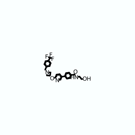 O=C(NCCO)c1ccc(-c2ccc(OC3CN(Cc4ccc(C(F)(F)F)cc4)C3)nc2)cc1